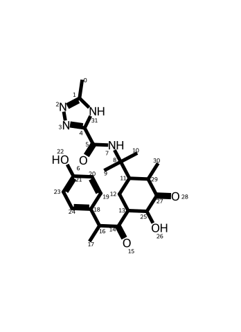 Cc1nnc(C(=O)NC(C)(C)C2CC(C(=O)C(C)c3ccc(O)cc3)C(O)C(=O)C2C)[nH]1